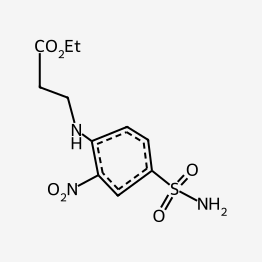 CCOC(=O)CCNc1ccc(S(N)(=O)=O)cc1[N+](=O)[O-]